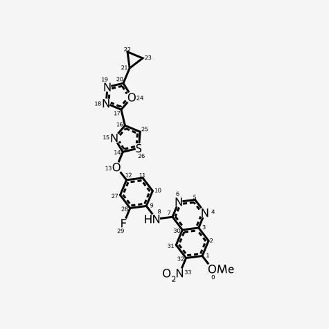 COc1cc2ncnc(Nc3ccc(Oc4nc(-c5nnc(C6CC6)o5)cs4)cc3F)c2cc1[N+](=O)[O-]